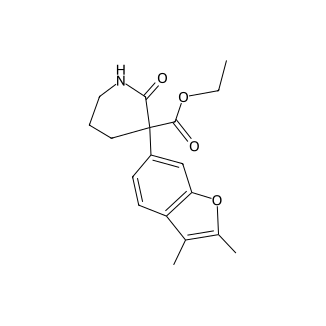 CCOC(=O)C1(c2ccc3c(C)c(C)oc3c2)CCCNC1=O